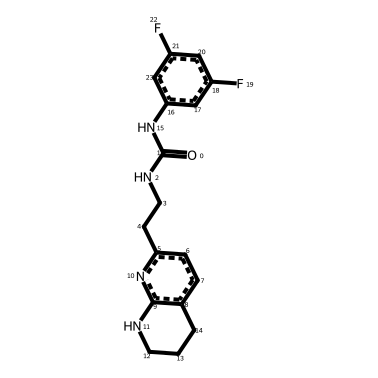 O=C(NCCc1ccc2c(n1)NCCC2)Nc1cc(F)cc(F)c1